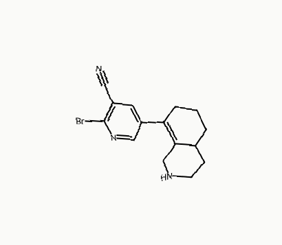 N#Cc1cc(C2=C3CNCCC3CCC2)cnc1Br